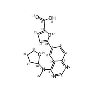 CN(c1ncnc2ccc(-c3ccc(C(=O)O)o3)cc12)C1CCCO1